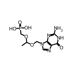 CC(OCn1cnc2c(=O)[nH]c(N)nc21)OCP(=O)(O)O